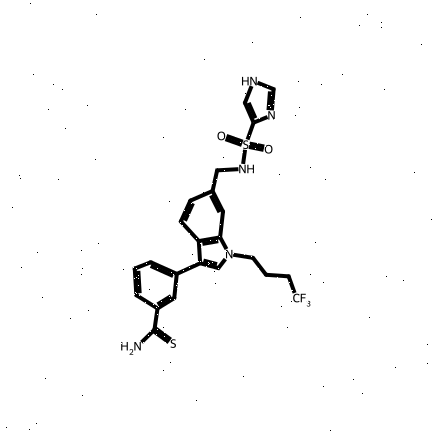 NC(=S)c1cccc(-c2cn(CCCC(F)(F)F)c3cc(CNS(=O)(=O)c4c[nH]cn4)ccc23)c1